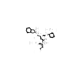 CCCC(Nc1cc(C(=O)NC2Cc3ccccc3C2)nc(Nc2ccccc2O)n1)C(C)(C)C